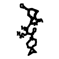 C[C@@H](Nc1n[nH]c2ccc(Cl)cc12)C(=O)N1CCC2(CC1)CC2